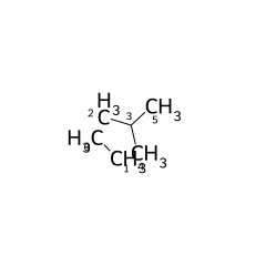 CC.CC(C)C